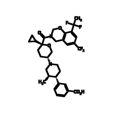 C[C@H]1CN([C@@H]2CC[C@@](C(=O)N3COc4c(cc(C(F)(F)F)cc4C(C)(F)F)C3)(C3CC3)OC2)CC[C@@H]1c1cccc(C(=O)O)c1